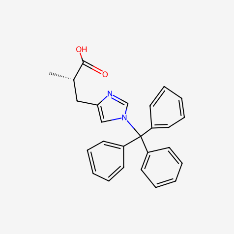 C[C@@H](Cc1cn(C(c2ccccc2)(c2ccccc2)c2ccccc2)cn1)C(=O)O